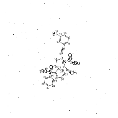 C#CCN([C@@H](C#Cc1cccc(Br)c1)CCO[Si](c1ccccc1)(c1ccccc1)C(C)(C)C)[S@+]([O-])C(C)(C)C